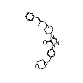 C/C(=C\c1ccccc1)CN1CCC(n2cnn(-c3ccc(CN4CCOCC4)cc3)c2=O)CC1